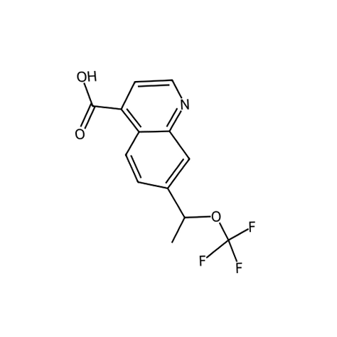 CC(OC(F)(F)F)c1ccc2c(C(=O)O)ccnc2c1